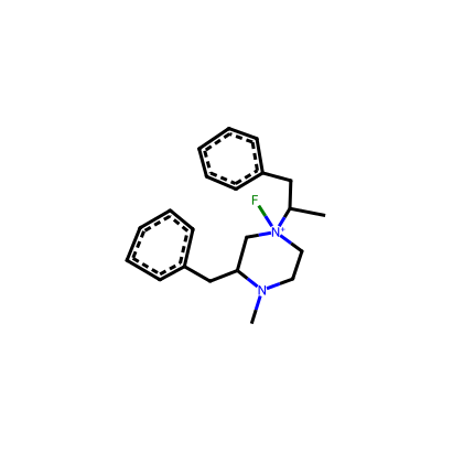 CC(Cc1ccccc1)[N+]1(F)CCN(C)C(Cc2ccccc2)C1